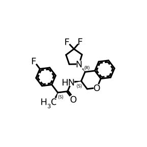 C[C@H](C(=O)N[C@@H]1COc2ccccc2[C@H]1N1CCC(F)(F)C1)c1ccc(F)cc1